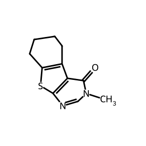 Cn1cnc2sc3c(c2c1=O)CCCC3